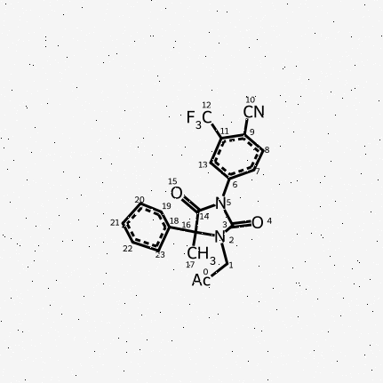 CC(=O)CN1C(=O)N(c2ccc(C#N)c(C(F)(F)F)c2)C(=O)C1(C)c1cc[c]cc1